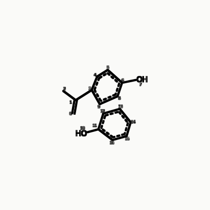 C=C(C)c1ccc(O)cc1.Oc1ccccc1